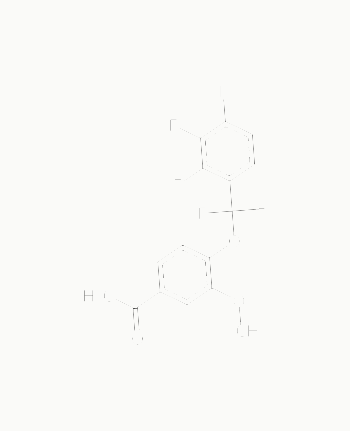 COc1cc(C(C)=O)ccc1OC(F)(F)c1ccc(F)c(F)c1F